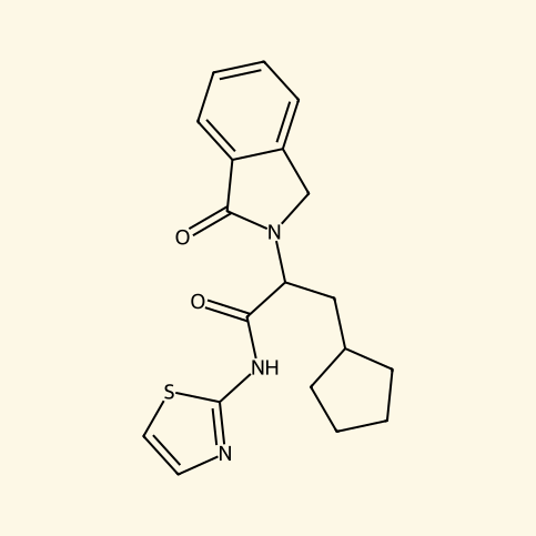 O=C(Nc1nccs1)C(CC1CCCC1)N1Cc2ccccc2C1=O